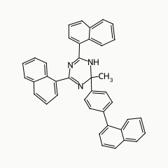 CC1(c2ccc(-c3cccc4ccccc34)cc2)N=C(c2cccc3ccccc23)N=C(c2cccc3ccccc23)N1